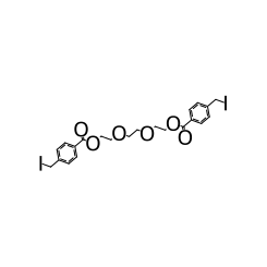 O=C(OCCOCCOCCOC(=O)c1ccc(CI)cc1)c1ccc(CI)cc1